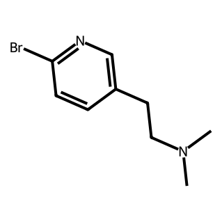 CN(C)CCc1ccc(Br)nc1